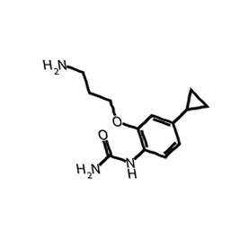 NCCCOc1cc(C2CC2)ccc1NC(N)=O